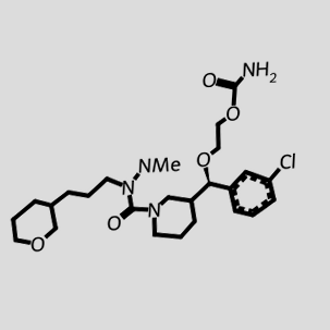 CNN(CCCC1CCCOC1)C(=O)N1CCCC([C@@H](OCCOC(N)=O)c2cccc(Cl)c2)C1